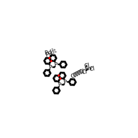 [Cl-].[Cl-].[Cl-].[Cl-].[Cl-].[Cl][Sn+]([Cl])[Cl].[Pd+2].[Pd+2].c1ccc(P(CP(c2ccccc2)c2ccccc2)c2ccccc2)cc1.c1ccc(P(CP(c2ccccc2)c2ccccc2)c2ccccc2)cc1